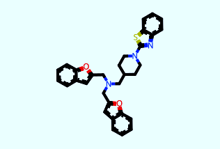 c1ccc2oc(CN(Cc3cc4ccccc4o3)CC3CCN(c4nc5ccccc5s4)CC3)cc2c1